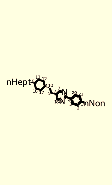 CCCCCCCCCc1ccc(-c2ncc(CC[C@H]3CC[C@H](CCCCCCC)CC3)cn2)cc1